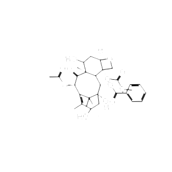 COC(=O)O[C@@]12CO[C@@H]1CC(O)[C@@]1(C)C(=O)[C@H](OC(C)=O)C3=C(C)[C@](C)(O)C[C@@](O)([C@@H](OC(=O)c4ccccc4)C12)C3(C)C